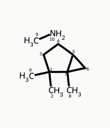 CC1(C)CCC2CC21C.CN